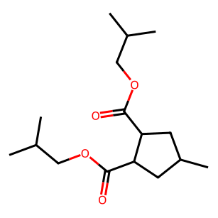 CC(C)COC(=O)C1CC(C)CC1C(=O)OCC(C)C